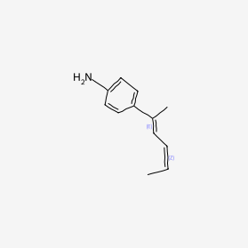 C/C=C\C=C(/C)c1ccc(N)cc1